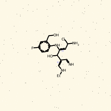 CCN/C=C(\C=N)C(O)/C(=C/C(N)Cl)Nc1ccc(F)cc1CO